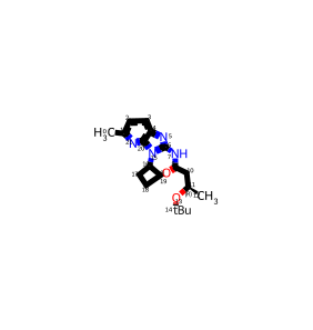 Cc1ccc2nc(NC(=O)C[C@@H](C)OC(C)(C)C)n(C3CCC3)c2n1